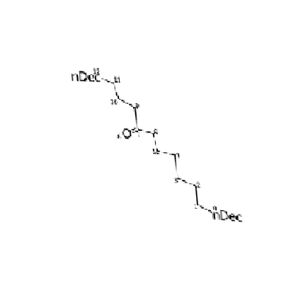 CCCCCCCCCCCCCC[CH]CC(=O)CCCCCCCCCCCCC